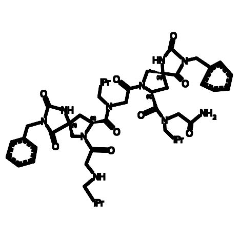 CC(C)CNCC(=O)N1C[C@]2(C[C@H]1C(=O)N(CC(=O)N1C[C@]3(C[C@H]1C(=O)N(CC(N)=O)CC(C)C)NC(=O)N(Cc1ccccc1)C3=O)CC(C)C)NC(=O)N(Cc1ccccc1)C2=O